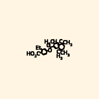 CCc1cc(OC(=O)c2cc3c(cc2C)C(C)(C)CCC3(C)C)ccc1C(=O)O